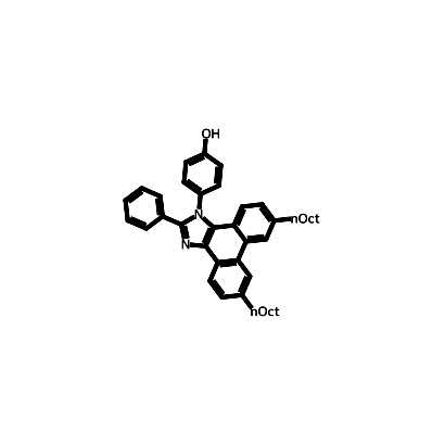 CCCCCCCCc1ccc2c(c1)c1cc(CCCCCCCC)ccc1c1c2nc(-c2ccccc2)n1-c1ccc(O)cc1